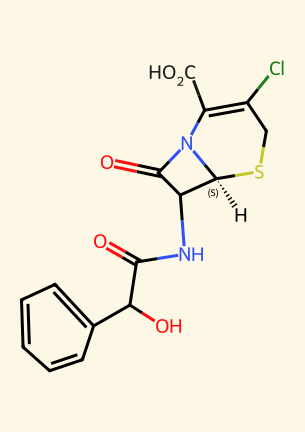 O=C(O)C1=C(Cl)CS[C@H]2C(NC(=O)C(O)c3ccccc3)C(=O)N12